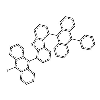 Fc1c2ccccc2c(-c2cccc3c2sc2cccc(-c4c5ccccc5c(-c5ccccc5)c5ccccc45)c23)c2ccccc12